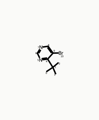 CC(C)(C)c1ncncc1Br